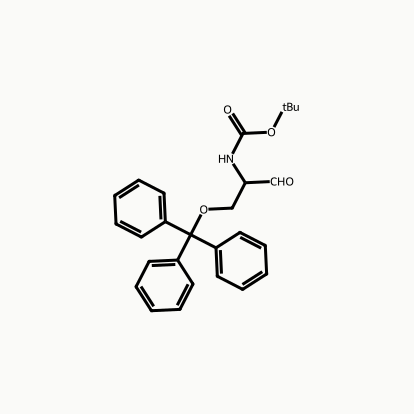 CC(C)(C)OC(=O)NC(C=O)COC(c1ccccc1)(c1ccccc1)c1ccccc1